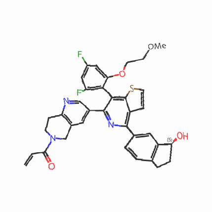 C=CC(=O)N1CCc2ncc(-c3nc(-c4ccc5c(c4)[C@@H](O)CC5)c4ccsc4c3-c3c(F)cc(F)cc3OCCOC)cc2C1